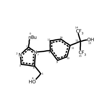 CCCCc1ncc(CO)n1-c1ccc(C(O)(C(F)(F)F)C(F)(F)F)cc1